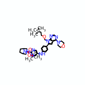 CC(C)(C)OC(=O)N1C2CCC1CN(c1ncc(Nc3ccc(-c4cc5c(N6CCOCC6)ncnc5n4COCC[Si](C)(C)C)cc3)cn1)C2